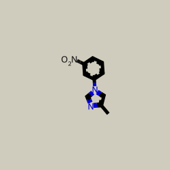 Cc1cn(-c2cccc([N+](=O)[O-])c2)cn1